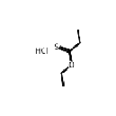 CCOC(=S)CC.Cl